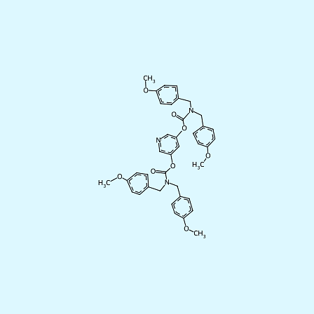 COc1ccc(CN(Cc2ccc(OC)cc2)C(=O)Oc2cncc(OC(=O)N(Cc3ccc(OC)cc3)Cc3ccc(OC)cc3)c2)cc1